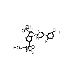 Cc1ccc(F)c(-c2cnc(-n3cc([S+](C)[O-])c4ccc(C(=O)N(C)CCO)cc43)nc2)c1